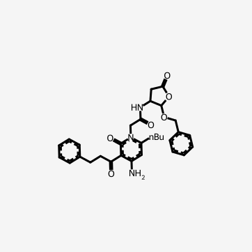 CCCCc1cc(N)c(C(=O)CCc2ccccc2)c(=O)n1CC(=O)NC1CC(=O)OC1OCc1ccccc1